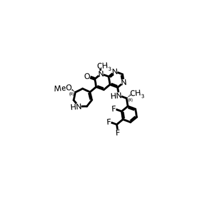 CO[C@H]1CNCC=C(c2cc3c(N[C@H](C)c4cccc(C(F)F)c4F)ncnc3n(C)c2=O)C1